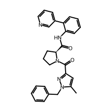 Cc1cc(C(=O)N2CCC[C@H]2C(=O)Nc2ccccc2-c2cccnc2)nn1Cc1ccccc1